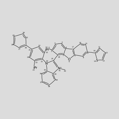 Cc1ccc2c(oc3cc(-c4cccs4)ccc32)c1-c1n(-c2c(C(C)C)cc(-c3ccccc3)cc2C(C)C)c2ccccc2[n+]1C